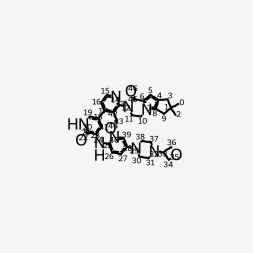 CC1(C)Cc2cc3n(c2C1)CCN(c1nccc(-c2c[nH]c(=O)c(Nc4ccc(N5CCN(C6COC6)CC5)cn4)c2)c1C=O)C3=O